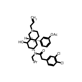 C=CCN1CC[C@@]2(c3cccc(OC(C)=O)c3)C[C@H](N(CC(C)C)C(=O)Cc3ccc(Cl)c(Cl)c3)CC(O)[C@@H]2C1